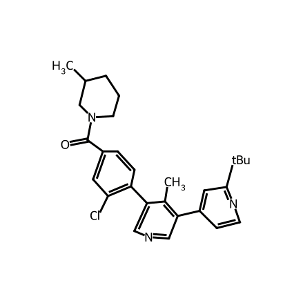 Cc1c(-c2ccnc(C(C)(C)C)c2)cncc1-c1ccc(C(=O)N2CCCC(C)C2)cc1Cl